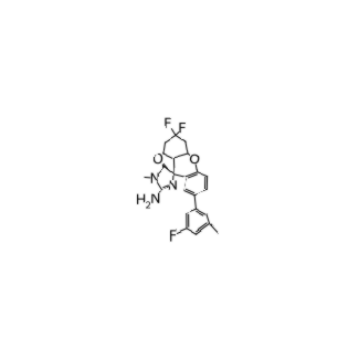 Cc1cc(F)cc(-c2ccc3c(c2)C2(N=C(N)N(C)C2=O)C2CCC(F)(F)CC2O3)c1